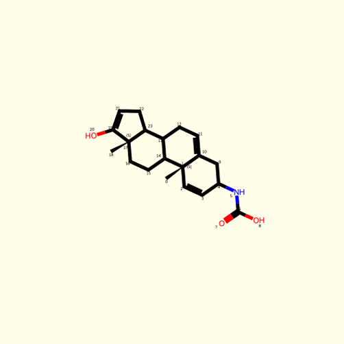 C[C@]12C=CC(NC(=O)O)CC1=CCC1C2CC[C@]2(C)C(O)=CCC12